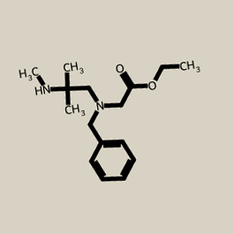 CCOC(=O)CN(Cc1ccccc1)CC(C)(C)NC